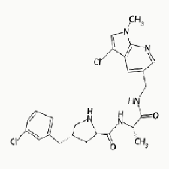 C[C@H](NC(=O)[C@H]1C[C@H](Cc2cccc(Cl)c2)CN1)C(=O)NCc1cnc2c(c1)c(Cl)cn2C